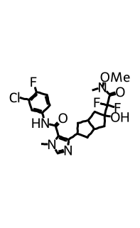 CON(C)C(=O)C(F)(F)C1(O)CC2CC(c3ncn(C)c3C(=O)Nc3ccc(F)c(Cl)c3)CC2C1